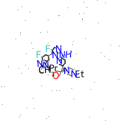 CCN1CCN([C@H](c2ccc(Nc3ncc(F)c(-c4cc(F)c5nc(C)n(C(C)C)c5c4)n3)nc2)C2COC2)CC1